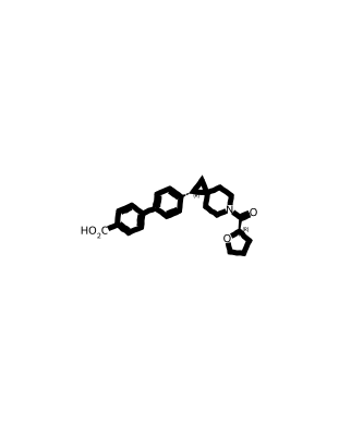 O=C(O)c1ccc(-c2ccc([C@@H]3CC34CCN(C(=O)[C@H]3CCCO3)CC4)cc2)cc1